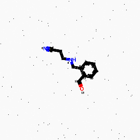 N#CCCNCc1ccccc1C=O